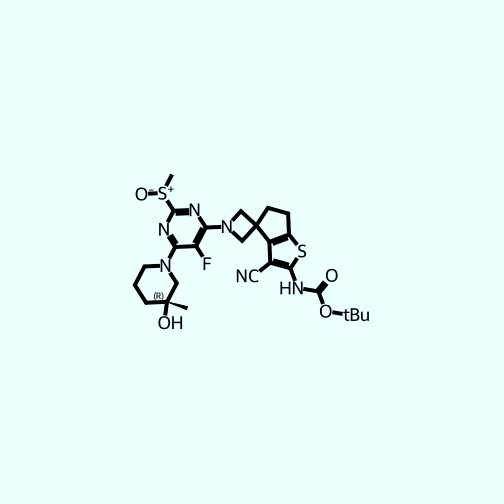 C[S+]([O-])c1nc(N2CC3(CCc4sc(NC(=O)OC(C)(C)C)c(C#N)c43)C2)c(F)c(N2CCC[C@@](C)(O)C2)n1